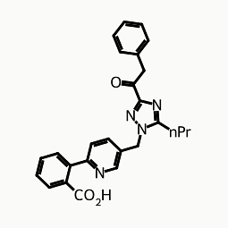 CCCc1nc(C(=O)Cc2ccccc2)nn1Cc1ccc(-c2ccccc2C(=O)O)nc1